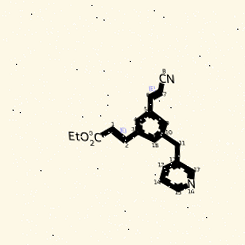 CCOC(=O)/C=C/c1cc(/C=C/C#N)cc(Cc2cccnc2)c1